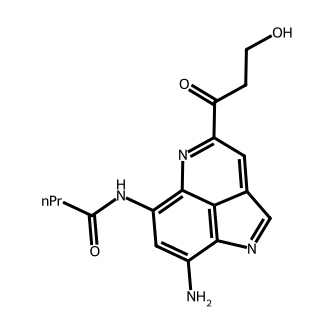 CCCC(=O)Nc1cc(N)c2c3c(cc(C(=O)CCO)nc13)C=N2